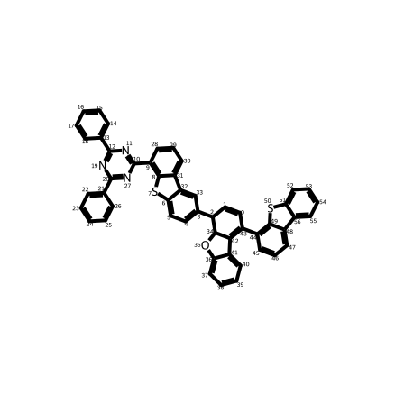 C1=CC(c2ccc3sc4c(-c5nc(-c6ccccc6)nc(-c6ccccc6)n5)cccc4c3c2)C2Oc3ccccc3C2=C1c1cccc2c1sc1ccccc12